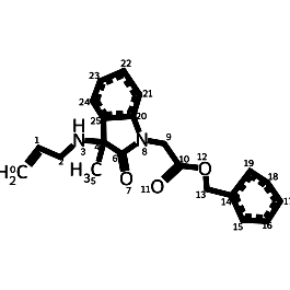 C=CCNC1(C)C(=O)N(CC(=O)OCc2ccccc2)c2ccccc21